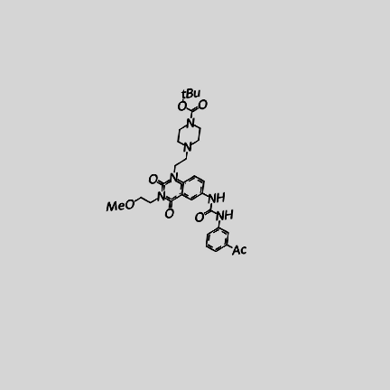 COCCn1c(=O)c2cc(NC(=O)Nc3cccc(C(C)=O)c3)ccc2n(CCN2CCN(C(=O)OC(C)(C)C)CC2)c1=O